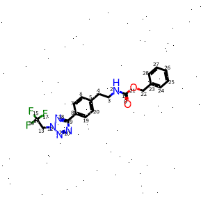 O=C(NCCc1ccc(-c2nnn(CC(F)(F)F)n2)cc1)OCc1ccccc1